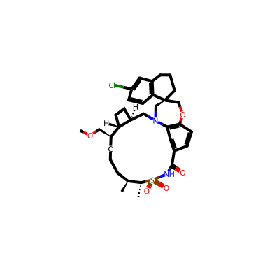 COC[C@@H]1CCC[C@H](C)[C@@H](C)S(=O)(=O)NC(=O)c2ccc3c(c2)N(C[C@@H]2CC[C@@H]12)C[C@@]1(CCCc2cc(Cl)ccc21)CO3